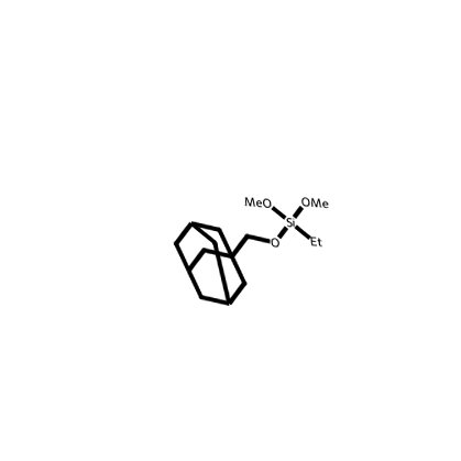 CC[Si](OC)(OC)OCC12CC3CC(CC(C3)C1)C2